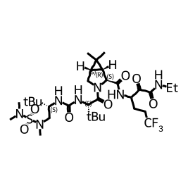 CCNC(=O)C(=O)C(CCC(F)(F)F)NC(=O)[C@@H]1[C@@H]2[C@H](CN1C(=O)[C@@H](NC(=O)N[C@H](CN(C)S(=O)(=O)N(C)C)C(C)(C)C)C(C)(C)C)C2(C)C